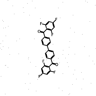 O=C(c1ccc(-c2ccc(C(=O)c3c(F)cc(F)cc3F)cc2)cc1)c1c(F)cc(F)cc1F